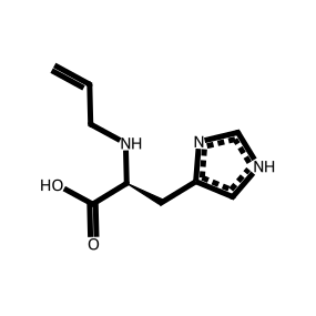 C=CCN[C@@H](Cc1c[nH]cn1)C(=O)O